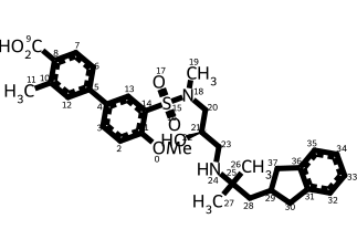 COc1ccc(-c2ccc(C(=O)O)c(C)c2)cc1S(=O)(=O)N(C)C[C@H](O)CNC(C)(C)CC1Cc2ccccc2C1